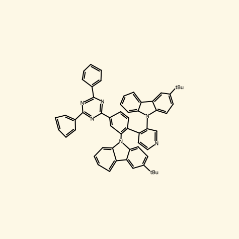 CC(C)(C)c1ccc2c(c1)c1ccccc1n2-c1cnccc1-c1ccc(-c2nc(-c3ccccc3)nc(-c3ccccc3)n2)cc1-n1c2ccccc2c2cc(C(C)(C)C)ccc21